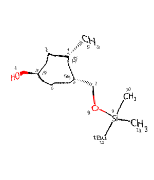 C[C@H]1C[C@H](O)C[C@H]1CO[Si](C)(C)C(C)(C)C